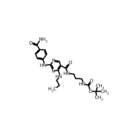 CCCNc1nc(Nc2ccc(C(N)=O)cc2)ncc1C(=O)NCCCNC(=O)OC(C)(C)C